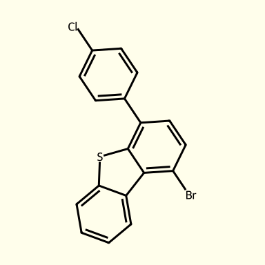 Clc1ccc(-c2ccc(Br)c3c2sc2ccccc23)cc1